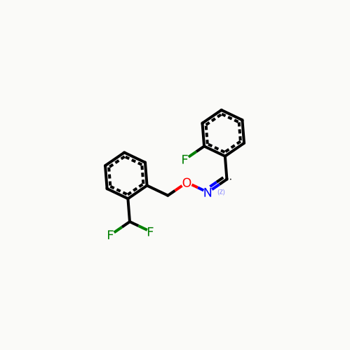 Fc1ccccc1/[C]=N\OCc1ccccc1C(F)F